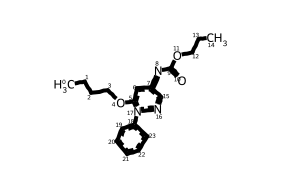 CCCCOc1cc(=NC(=O)OCCC)cnn1-c1ccccc1